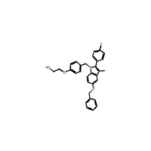 Cc1c(-c2ccc(F)cc2)n(Cc2ccc(OCCO)cc2)c2ccc(OCc3ccccc3)cc12